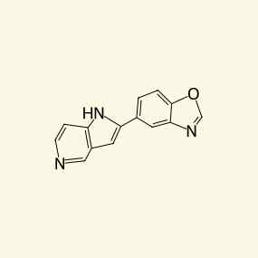 c1cc2[nH]c(-c3ccc4ocnc4c3)cc2cn1